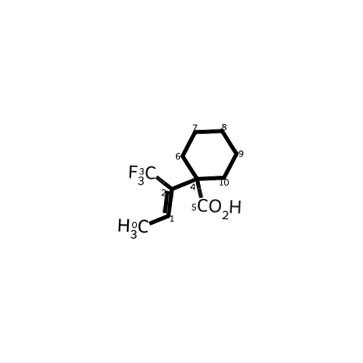 CC=C(C(F)(F)F)C1(C(=O)O)CCCCC1